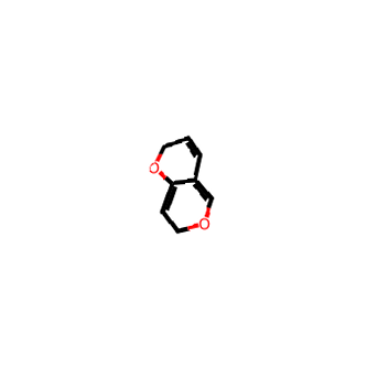 C1=CC2=COCC=C2OC1